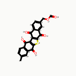 Cc1ccc2c(=O)c3c(sc4c(=O)c5cc(COC=O)ccc5c(=O)c43)c(=O)c2c1